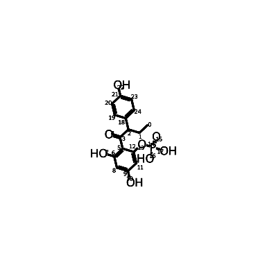 CCC(C(=O)c1c(O)cc(O)cc1OP(=O)(O)O)c1ccc(O)cc1